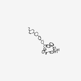 C=C(CO)C(=O)OCC(COC(=O)C(=C)CO)C1CCC(c2ccc(C3CCC(C4CCC(CCC)CC4)CC3)cc2)CC1